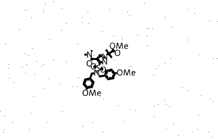 COC(=O)C(C)(C)n1cc(C(=O)N(C)C)c(S(=O)(=O)N(Cc2ccc(OC)cc2)Cc2ccc(OC)cc2)n1